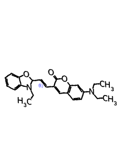 CCN(CC)c1ccc2cc(/C=C/C3Oc4ccccc4N3CC)c(=O)oc2c1